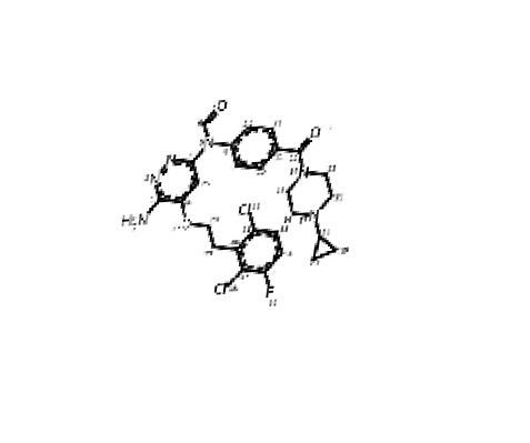 Nc1nnc(N(C=O)c2ccc(C(=O)N3CCN(C4CC4)CC3)cc2)cc1OCCc1c(Cl)ccc(F)c1Cl